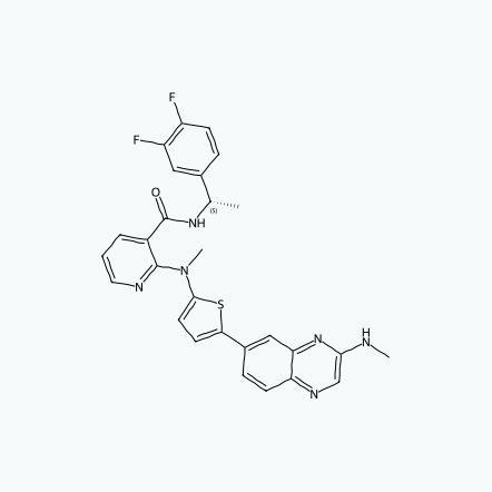 CNc1cnc2ccc(-c3ccc(N(C)c4ncccc4C(=O)N[C@@H](C)c4ccc(F)c(F)c4)s3)cc2n1